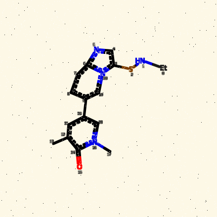 CCNSc1cnc2ccc(-c3cc(C)c(=O)n(C)c3)cn12